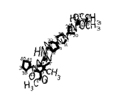 CC(=O)c1c(C)c2cnc(Nc3ccc(N4CCN(C5CN(C(=O)OC(C)(C)C)C5)CC4)cn3)nc2n(C2CCCC2)c1=O